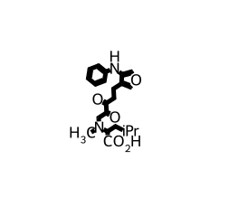 CC(C)CC(C(=O)O)N(C)CC(=O)C(=O)CCc1cocc1Nc1ccccc1